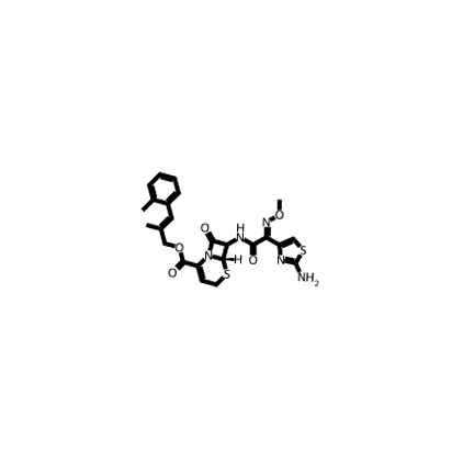 CON=C(C(=O)NC1C(=O)N2C(C(=O)OCC(C)=Cc3ccccc3C)=CCS[C@@H]12)c1csc(N)n1